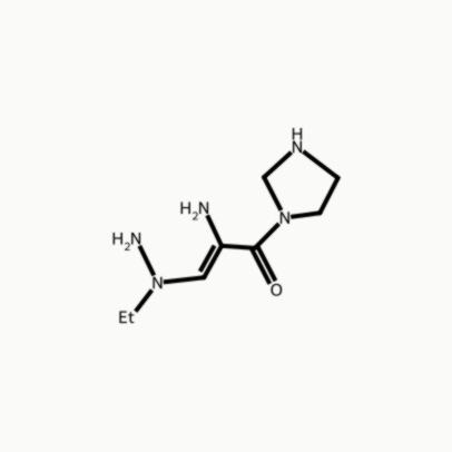 CCN(N)/C=C(\N)C(=O)N1CCNC1